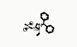 C=C[C@@H]1[C@@H](CS(C)(=O)=O)CN1C(c1ccccc1)c1ccccc1